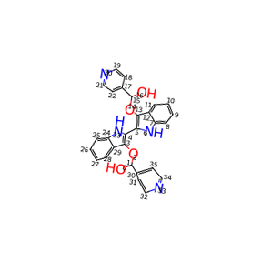 OC(Oc1c(-c2[nH]c3ccccc3c2OC(O)c2ccncc2)[nH]c2ccccc12)c1ccncc1